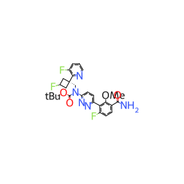 COc1c(C(N)=O)ccc(F)c1-c1ccc(N(C[C@]2(c3ncccc3F)C[C@@H](F)C2)C(=O)OC(C)(C)C)nn1